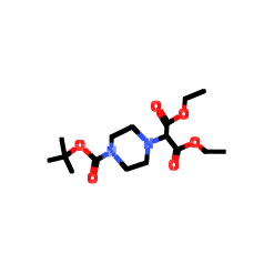 CCOC(=O)C(C(=O)OCC)N1CCN(C(=O)OC(C)(C)C)CC1